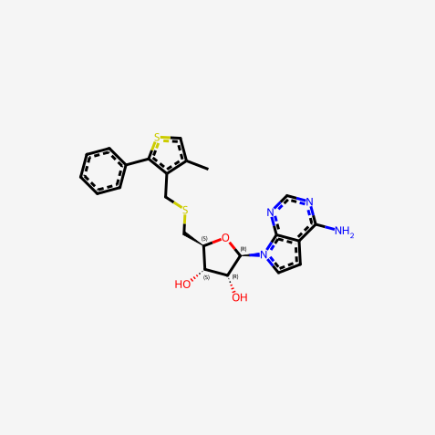 Cc1csc(-c2ccccc2)c1CSC[C@H]1O[C@@H](n2ccc3c(N)ncnc32)[C@H](O)[C@@H]1O